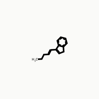 CCCC=CC1=CCc2ccccc21